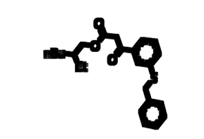 CCCCC(CC)COC(=O)CC(=O)c1cccc(SCc2ccccc2)c1